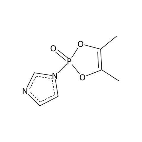 CC1=C(C)OP(=O)(n2ccnc2)O1